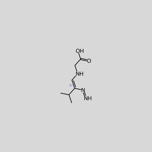 CC(C)/C(=C/NCC(=O)O)N=N